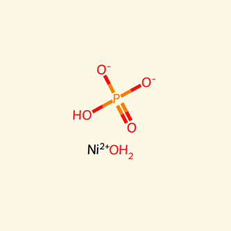 O.O=P([O-])([O-])O.[Ni+2]